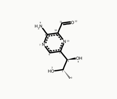 C[C@H](O)[C@H](O)c1cnc(N)c(C=O)n1